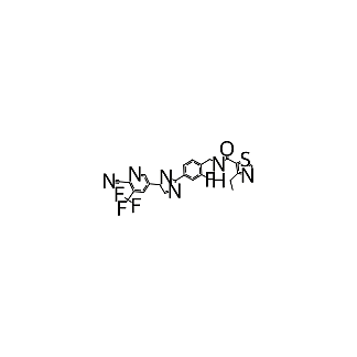 CCc1ncsc1C(=O)NCc1ccc(C2N=CC(c3cnc(C#N)c(C(F)(F)F)c3)=N2)cc1F